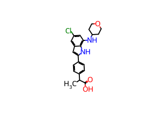 CC(C(=O)O)c1ccc(-c2cc3cc(Cl)cc(NC4CCOCC4)c3[nH]2)cc1